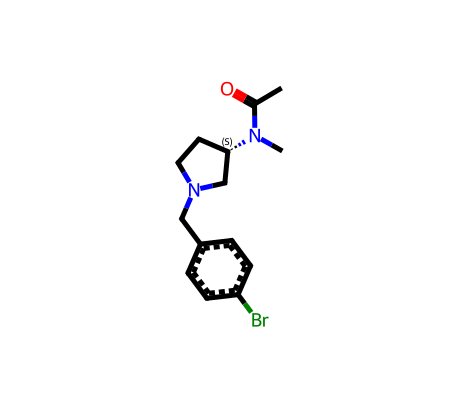 CC(=O)N(C)[C@H]1CCN(Cc2ccc(Br)cc2)C1